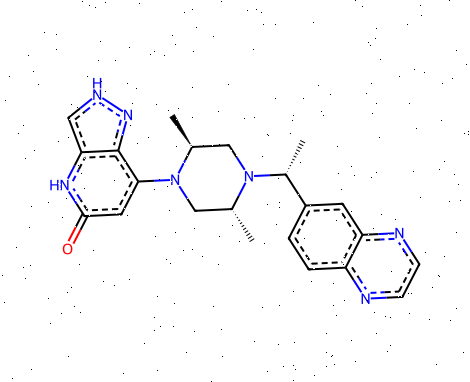 C[C@@H]1CN(c2cc(=O)[nH]c3c[nH]nc23)[C@@H](C)CN1[C@H](C)c1ccc2nccnc2c1